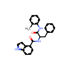 Cc1ccccc1NC(=O)C(Cc1ccccc1)NC(=O)c1cccc2[nH]ccc12